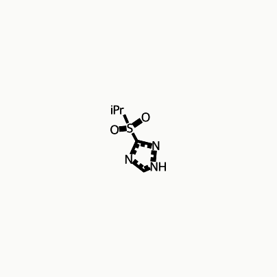 CC(C)S(=O)(=O)c1nc[nH]n1